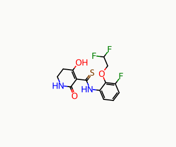 O=C1NCCC(O)=C1C(=S)Nc1cccc(F)c1OCC(F)F